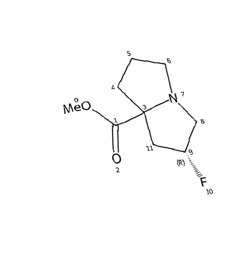 COC(=O)C12CCCN1C[C@H](F)C2